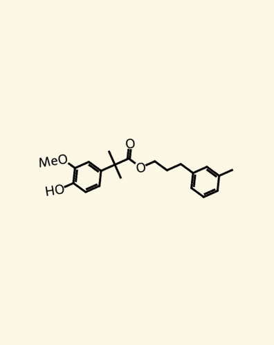 COc1cc(C(C)(C)C(=O)OCCCc2cccc(C)c2)ccc1O